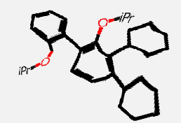 CC(C)Oc1ccccc1-c1ccc(C2CCCCC2)c(C2CCCCC2)c1OC(C)C